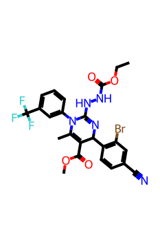 CCOC(=O)NNC1=NC(c2ccc(C#N)cc2Br)C(C(=O)OC)=C(C)N1c1cccc(C(F)(F)F)c1